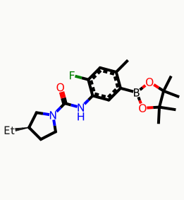 CC[C@@H]1CCN(C(=O)Nc2cc(B3OC(C)(C)C(C)(C)O3)c(C)cc2F)C1